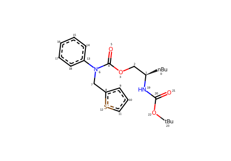 CCCC[C@H](COC(=O)N(Cc1cccs1)c1ccccc1)NC(=O)OC(C)(C)C